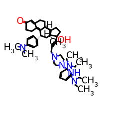 CCN(CC)C1=CC=CC(N(CC)CC)(N2CCN(CC#C[C@]3(O)CC[C@H]4[C@@H]5CCC6=CC(=O)CCC6=C5[C@@H](c5ccc(N(C)C)cc5)C[C@@]43C)CC2)N1